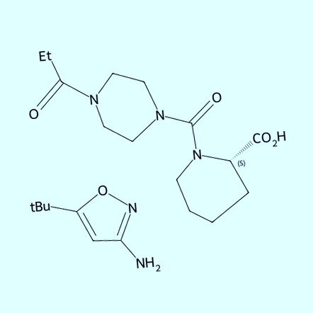 CC(C)(C)c1cc(N)no1.CCC(=O)N1CCN(C(=O)N2CCCC[C@H]2C(=O)O)CC1